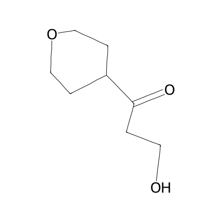 O=C(CCO)C1CCOCC1